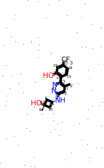 Cc1cc(N[C@H]2C[C@@](C)(O)C2)nnc1-c1ccc(C(F)(F)F)cc1O